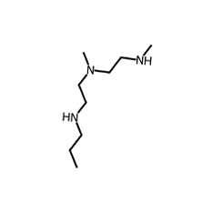 CCCNCCN(C)CCNC